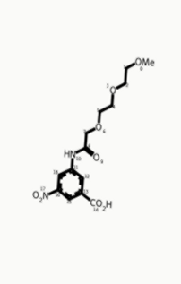 COCCOCCOCC(=O)Nc1cc(C(=O)O)cc([N+](=O)[O-])c1